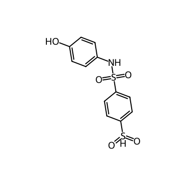 O=[SH](=O)c1ccc(S(=O)(=O)Nc2ccc(O)cc2)cc1